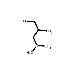 CC(C)CC(C)CN(C)C